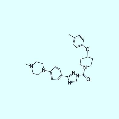 Cc1ccc(OC2CCN(C(=O)n3cnc(-c4ccc(N5CCN(C)CC5)cc4)n3)CC2)cc1